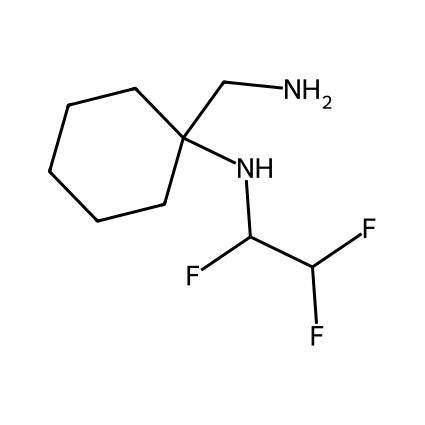 NCC1(NC(F)C(F)F)CCCCC1